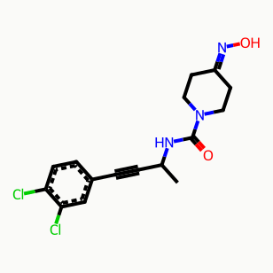 CC(C#Cc1ccc(Cl)c(Cl)c1)NC(=O)N1CCC(=NO)CC1